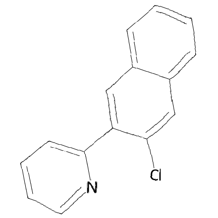 Clc1cc2ccccc2cc1-c1ccccn1